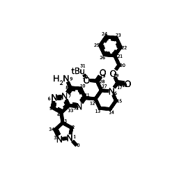 CN1CC(c2cnn3c(N)cc(C4CCCN(C(=O)OCc5ccccc5)C4C(=O)OC(C)(C)C)nc23)C=N1